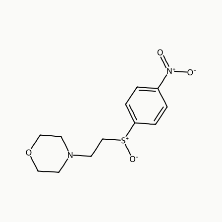 O=[N+]([O-])c1ccc([S+]([O-])CCN2CCOCC2)cc1